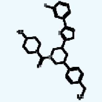 CCc1ccc(C2CC(C3=NC(c4cccc(F)c4)=NC3)CN(C(=O)N3CCC(O)CC3)C2)cc1